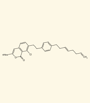 C=CCC/C=C/CCc1ccc(CCc2ccc3cc(CCCCCC)oc(=O)c3c2Cl)cc1